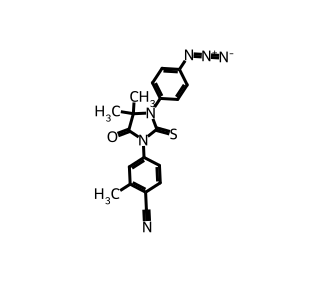 Cc1cc(N2C(=O)C(C)(C)N(c3ccc(N=[N+]=[N-])cc3)C2=S)ccc1C#N